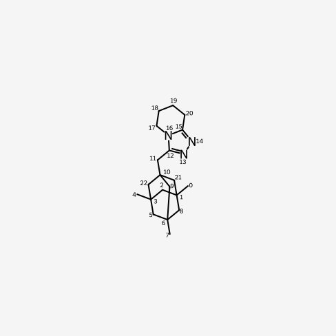 CC12CC3(C)CC(C)(C1)CC(Cc1nnc4n1CCCC4)(C2)C3